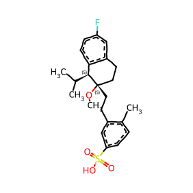 CO[C@@]1(CCc2cc(S(=O)(=O)O)ccc2C)CCc2cc(F)ccc2[C@@H]1C(C)C